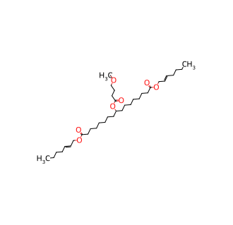 CCCC/C=C/COC(=O)CCCCCCCC(CCCCCCCC(=O)OC/C=C/CCCC)OC(=O)CCCOC